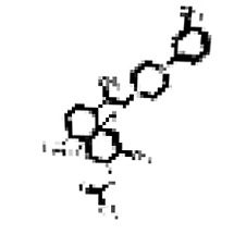 CC(=O)O[C@@H]1[CH][C@@]2(O)[C@H](C)CC[C@@H](C(C)CN3CCN(c4cccc(C)n4)CC3)[C@H]2C=C1C